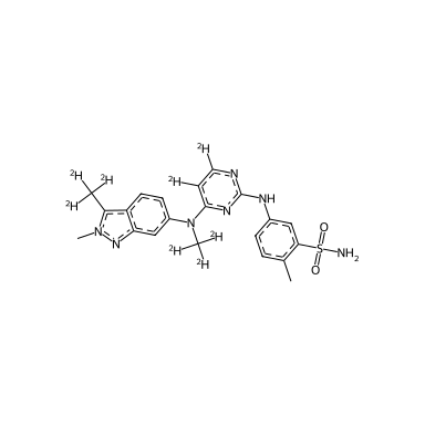 [2H]c1nc(Nc2ccc(C)c(S(N)(=O)=O)c2)nc(N(c2ccc3c(C([2H])([2H])[2H])n(C)nc3c2)C([2H])([2H])[2H])c1[2H]